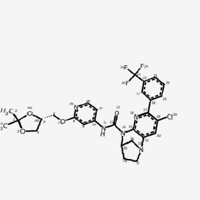 CC1(C)OC[C@@H](COc2cc(NC(=O)N3c4nc(-c5cccc(C(F)(F)F)c5)c(Cl)cc4N4CCC3C4)ccn2)O1